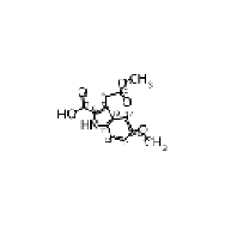 COC(=O)Cc1c(C(=O)O)[nH]c2ccc(OC)cc12